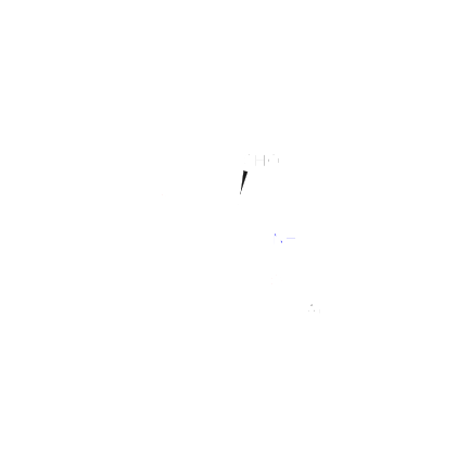 CC(=O)ON[C@H](C=O)CO